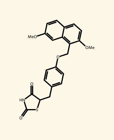 COc1ccc2ccc(OC)c(COc3ccc(CC4SC(=O)NC4=O)cc3)c2c1